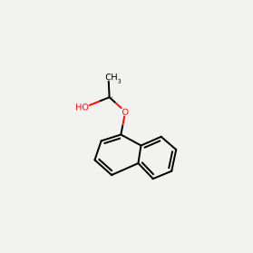 C[C](O)Oc1cccc2ccccc12